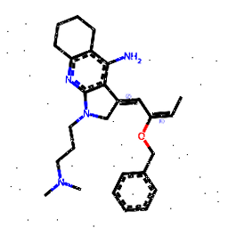 C/C=C(\C=C1/CN(CCCN(C)C)c2nc3c(c(N)c21)CCCC3)OCc1ccccc1